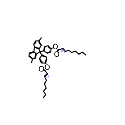 CCCCCC/C=C/C(=O)Oc1ccc(C2(c3ccc(OC(=O)/C=C/CCCCCC)cc3)c3cc(C)ccc3-c3ccc(C)cc32)cc1